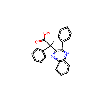 CC(C(=O)O)(c1ccccc1)c1nc2ccccc2nc1-c1ccccc1